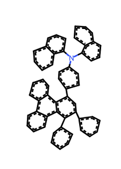 c1ccc(-c2cc(-c3ccc(N(c4cccc5ccccc45)c4cccc5ccccc45)cc3)c3c4ccccc4c4ccccc4c3c2-c2ccccc2)cc1